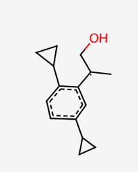 C[C](CO)c1cc(C2CC2)ccc1C1CC1